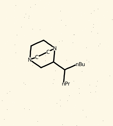 CCCCC(CCC)C1CN2CCN1CC2